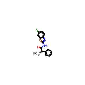 O=C(Nc1nc2ccc(F)cc2s1)C(c1ccccc1)S(=O)(=O)O